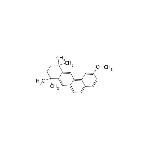 COc1ccc2ccc3cc4c(cc3c2c1)C(C)(C)CCC4(C)C